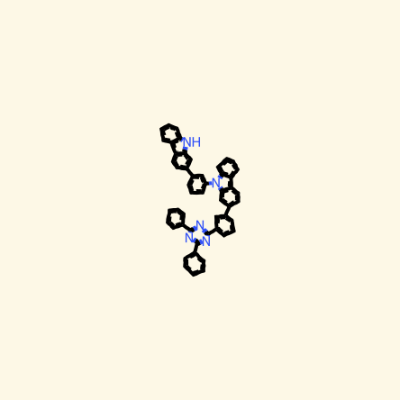 c1ccc(-c2nc(-c3ccccc3)nc(-c3cccc(-c4ccc5c6ccccc6n(-c6cccc(-c7ccc8c(c7)[nH]c7ccccc78)c6)c5c4)c3)n2)cc1